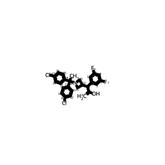 C=C(O)C(c1cc(F)cc(F)c1)C1CN(C(C)(c2ccc(Cl)cc2)c2ccc(Cl)cc2)C1